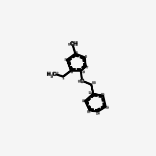 CCc1cc(O)ccc1OCc1ccccc1